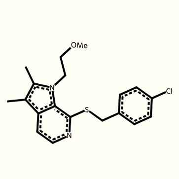 COCCn1c(C)c(C)c2ccnc(SCc3ccc(Cl)cc3)c21